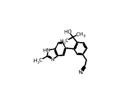 Cc1nc2cc(-c3cc(CC#N)ccc3C(C)(C)O)ccc2[nH]1